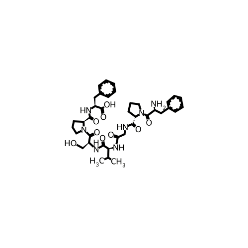 CC(C)[C@H](NC(=O)CNC(=O)[C@@H]1CCCN1C(=O)[C@@H](N)Cc1ccccc1)C(=O)N[C@@H](CO)C(=O)N1CCC[C@H]1C(=O)N[C@@H](Cc1ccccc1)C(=O)O